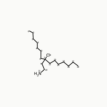 CCCCCCCC(Cl)(CCN)CCCCCCC